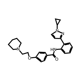 O=C(Nc1ccccc1-c1ccn(C2CC2)n1)c1ccc(OCCN2CCCCC2)cc1